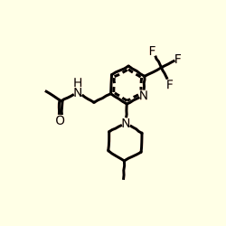 CC(=O)NCc1ccc(C(F)(F)F)nc1N1CCC(C)CC1